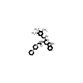 CC(=O)N(Cc1cc(C)c(C)c(C)c1)C(=O)C(Cc1c[nH]c2ccccc12)NC(=O)CN1CCC(N2CCCCC2)CC1